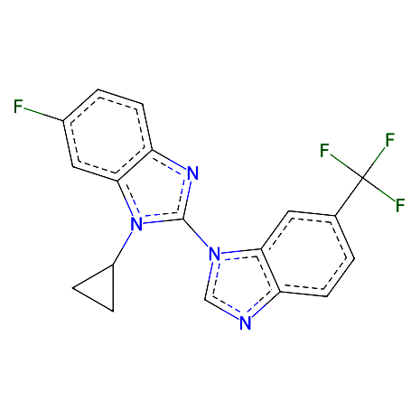 Fc1ccc2nc(-n3cnc4ccc(C(F)(F)F)cc43)n(C3CC3)c2c1